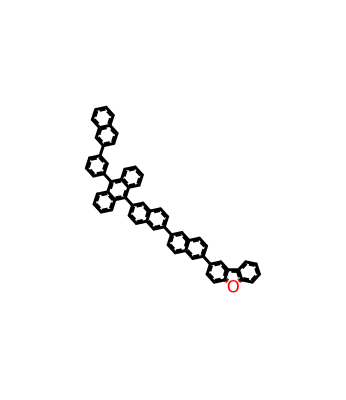 c1cc(-c2ccc3ccccc3c2)cc(-c2c3ccccc3c(-c3ccc4cc(-c5ccc6cc(-c7ccc8oc9ccccc9c8c7)ccc6c5)ccc4c3)c3ccccc23)c1